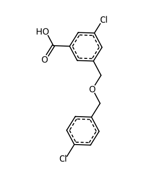 O=C(O)c1cc(Cl)cc(COCc2ccc(Cl)cc2)c1